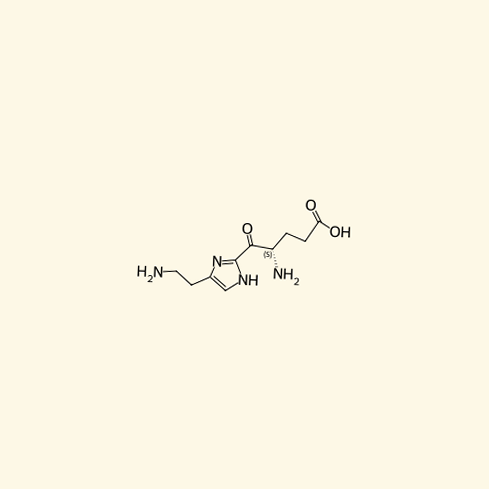 NCCc1c[nH]c(C(=O)[C@@H](N)CCC(=O)O)n1